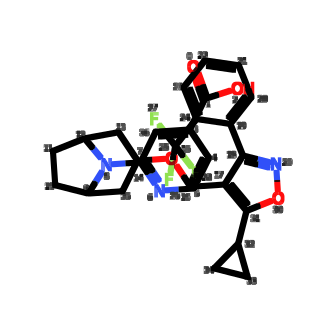 O=C(O)c1ccnc(N2C3CCC2CC(OCc2c(-c4ccccc4C(F)(F)F)noc2C2CC2)C3)c1